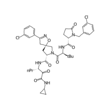 CCC[C@H](NC(=O)[C@@H]1C[C@]2(CC(c3cccc(Cl)c3)=NO2)CN1C(=O)[C@@H](NC(=O)[C@@H]1CCC(=O)N1Cc1cccc(Cl)c1)C(C)(C)C)C(=O)C(=O)NC1CC1